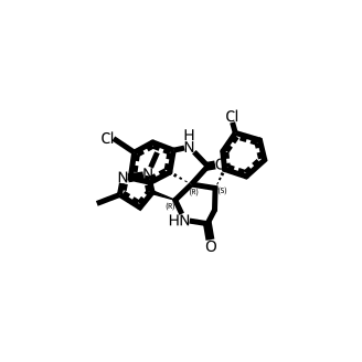 Cc1cc([C@@H]2NC(=O)C[C@@H](c3cccc(Cl)c3)[C@]23C(=O)Nc2cc(Cl)ccc23)n(C)n1